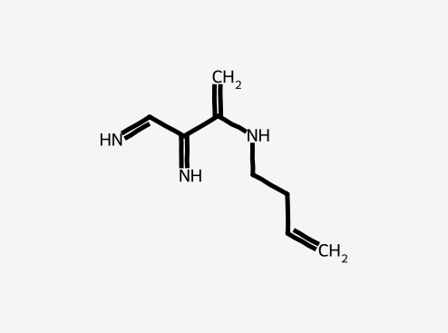 C=CCCNC(=C)C(=N)C=N